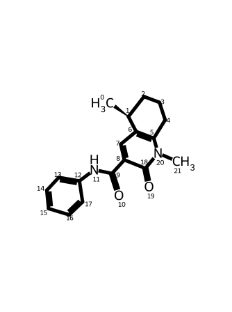 C[C@H]1CCCc2c1cc(C(=O)Nc1ccccc1)c(=O)n2C